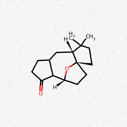 CC1(C)CC[C@@]23CC[C@@H](O2)C2C(=O)CCC2C[C@H]13